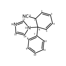 N#CC1C=CC=CC1(c1ccccc1)n1ccnc1